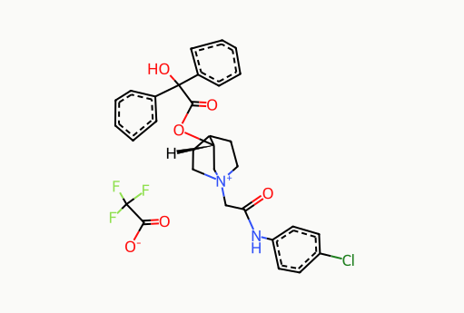 O=C(C[N+]12CCC(CC1)[C@@H](OC(=O)C(O)(c1ccccc1)c1ccccc1)C2)Nc1ccc(Cl)cc1.O=C([O-])C(F)(F)F